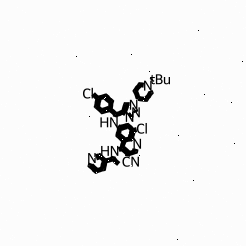 CC(Nc1c(C#N)cnc2c(Cl)cc(NC(c3ccc(Cl)cc3)c3cn(C4CCN(C(C)(C)C)CC4)nn3)cc12)c1cccnc1